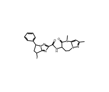 Cc1cc2n(n1)CCC(NC(=O)c1nc3n(n1)C(c1ccccc1)CC3F)C(=O)N2C